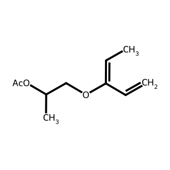 C=CC(=CC)OCC(C)OC(C)=O